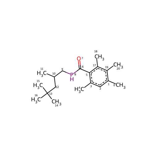 Cc1cc(C)c(C(=O)PCC(C)CC(C)(C)C)c(C)c1C